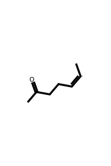 C/[C]=C\CCC(C)=O